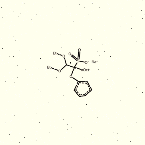 CCCCCCCCC(Oc1ccccc1)(C(OCC)OCC)S(=O)(=O)[O-].[Na+]